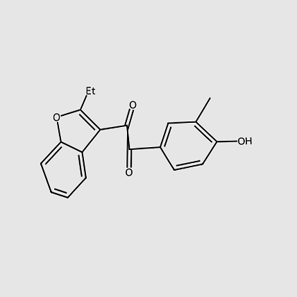 CCc1oc2ccccc2c1C(=O)C(=O)c1ccc(O)c(C)c1